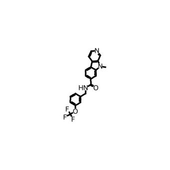 Cn1c2cnccc2c2ccc(C(=O)NCc3cccc(OC(F)(F)F)c3)cc21